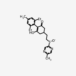 CCc1cc(C)cc(CC)c1C1=C(O)CC(CC[S+]([O-])c2cnc(C)cn2)CC1=O